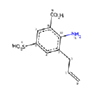 C=CCc1cc(S(=O)(=O)O)cc(C(=O)O)c1N